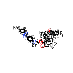 CCN(CCOC(=O)C(C)(CC(CC)(CC)C(CC)(CC)C(C)(CC(C)(C)CC)C(=O)OC)C(C)(C)CC)c1ccc(/N=N/c2ccc(C#N)cc2)cc1